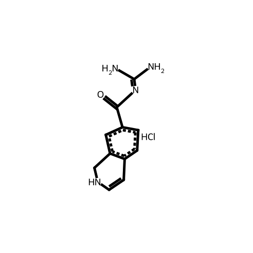 Cl.NC(N)=NC(=O)c1ccc2c(c1)CNC=C2